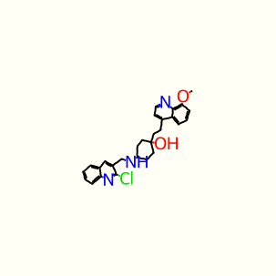 COc1cccc2c(CCC3(O)CCC(NCc4cc5ccccc5nc4Cl)CC3)ccnc12